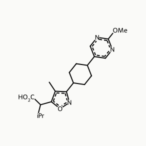 COc1ncc(C2CCC(c3noc(C(C(=O)O)C(C)C)c3C)CC2)cn1